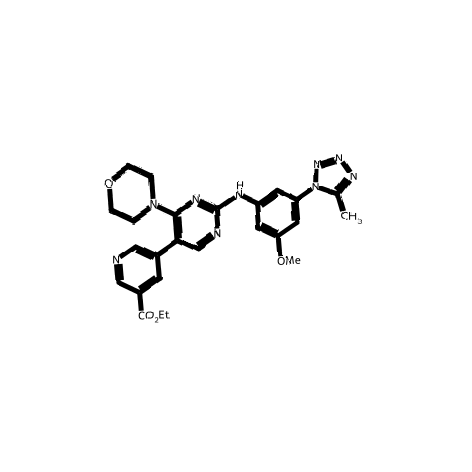 CCOC(=O)c1cncc(-c2cnc(Nc3cc(OC)cc(-n4nnnc4C)c3)nc2N2CCOCC2)c1